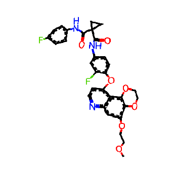 COCCOc1cc2nccc(Oc3ccc(NC(=O)C4(C(=O)Nc5ccc(F)cc5)CC4)cc3F)c2c2c1OCCO2